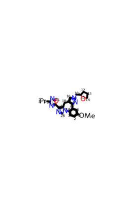 COc1ccc2c(c1)-c1nn(CC3CCCO3)cc1Cc1c(-c3nc(C(C)C)no3)ncn1-2